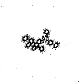 c1ccc(-c2ccc(-c3nc(-c4ccccc4)nc(-c4ccc5c(-c6ccc(-c7ccccc7)c7ccccc67)c6ccccc6c(-c6ccccc6)c5c4)n3)cc2)cc1